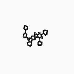 c1ccc(-c2cccc(-n3c4ccccc4c4cc5c(cc43)oc3nc(-c4ccccc4)nc(-c4ccccc4)c35)c2)cc1